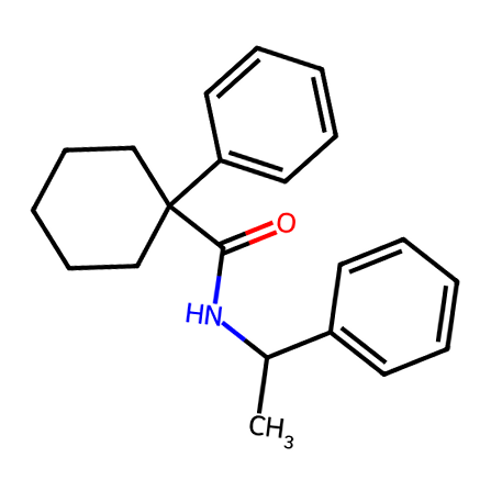 CC(NC(=O)C1(c2ccccc2)CCCCC1)c1ccccc1